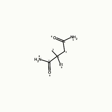 CCC(C)(CC(N)=O)C(N)=O